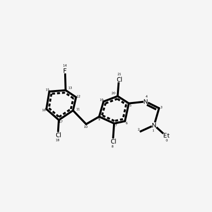 CCN(C)/C=N\c1cc(Cl)c(Cc2cc(F)ccc2Cl)cc1Cl